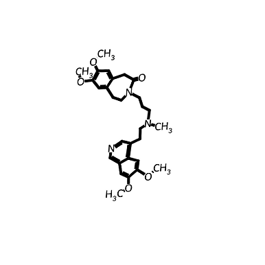 COc1cc2c(cc1OC)CC(=O)N(CCCN(C)CCc1cncc3cc(OC)c(OC)cc13)CC2